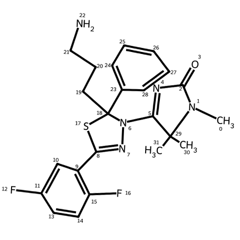 CN1C(=O)N=C(N2N=C(c3cc(F)ccc3F)SC2(CCCN)c2ccccc2)C1(C)C